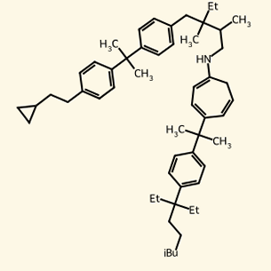 CCC(C)CCC(CC)(CC)c1ccc(C(C)(C)C2=CC=C(NCC(C)C(C)(CC)Cc3ccc(C(C)(C)c4ccc(CCC5CC5)cc4)cc3)CC=C2)cc1